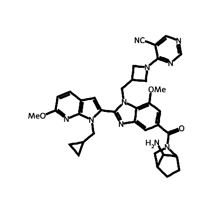 COc1ccc2cc(-c3nc4cc(C(=O)N5CC6CCC5C6N)cc(OC)c4n3CC3CN(c4ncncc4C#N)C3)n(CC3CC3)c2n1